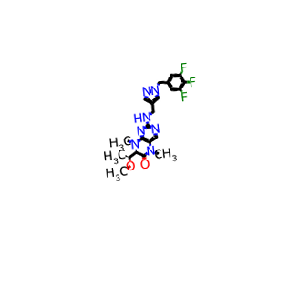 CO[C@H](C)[C@H]1C(=O)N(C)c2cnc(NCc3cnn(Cc4cc(F)c(F)c(F)c4)c3)nc2N1C